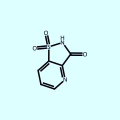 O=C1NS(=O)(=O)c2cccnc21